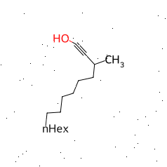 CCCCCCCCCCCCC(C)C#CO